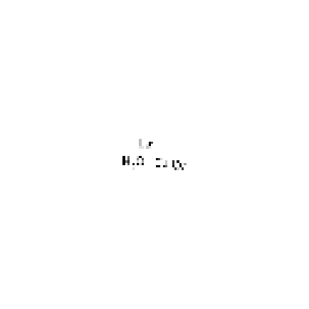 O.[Ce].[Cu].[La]